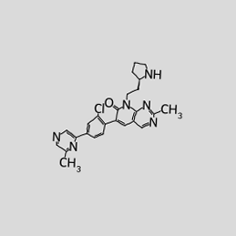 Cc1cncc(-c2ccc(-c3cc4cnc(C)nc4n(CC[C@H]4CCCN4)c3=O)c(Cl)c2)n1